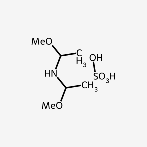 COC(C)NC(C)OC.O=S(=O)(O)O